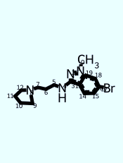 Cn1nc(NCCCN2CCCC2)c2ccc(Br)cc21